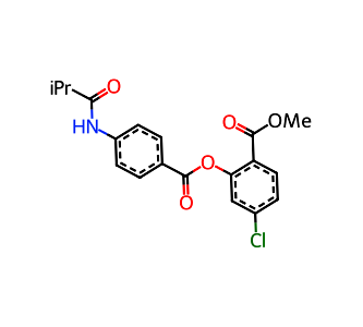 COC(=O)c1ccc(Cl)cc1OC(=O)c1ccc(NC(=O)C(C)C)cc1